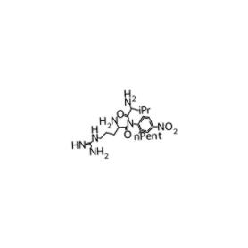 CCCCCc1cc([N+](=O)[O-])ccc1N(C(=O)C(N)CCCNC(=N)N)C(=O)C(N)C(C)C